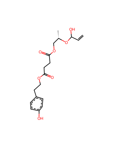 C=CC(O)O[C@@H](C)COC(=O)CCC(=O)OCCc1ccc(O)cc1